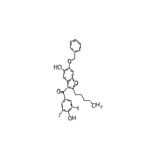 CCCCCc1oc2cc(OCc3ccccc3)c(O)cc2c1C(=O)c1cc(I)c(O)c(I)c1